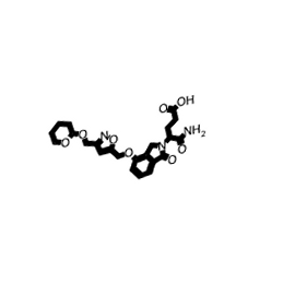 NC(=O)C(CCC(=O)O)N1Cc2c(OCc3cc(COC4CCCCO4)no3)cccc2C1=O